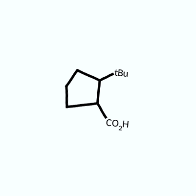 CC(C)(C)C1CCCC1C(=O)O